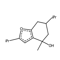 CC(C)c1cc2c(o1)CC(C(C)C)CC2(C)O